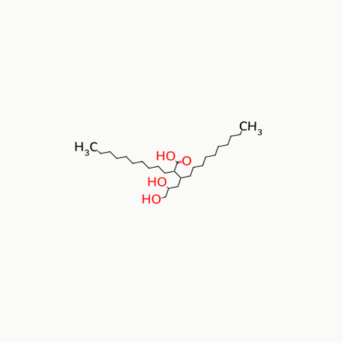 CCCCCCCCCCC(CC(O)CO)C(CCCCCCCCCC)C(=O)O